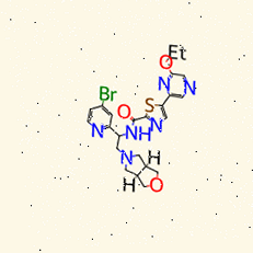 CCOc1cncc(-c2cnc(C(=O)NC(CN3C[C@H]4COC[C@H]4C3)c3cc(Br)ccn3)s2)n1